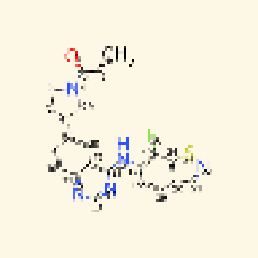 C=CC(=O)N1CC[C@@H](c2ccc3ncnc(Nc4ccc5cnsc5c4F)c3c2)C1